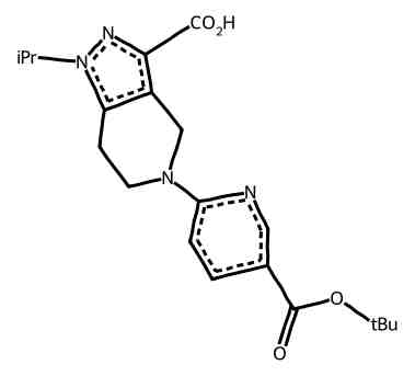 CC(C)n1nc(C(=O)O)c2c1CCN(c1ccc(C(=O)OC(C)(C)C)cn1)C2